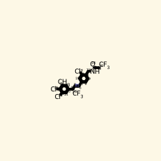 Cc1cc(C(/C=C/c2ccc(CNC(=O)CC(F)(F)F)c(Cl)c2)C(F)(F)F)cc(Cl)c1Cl